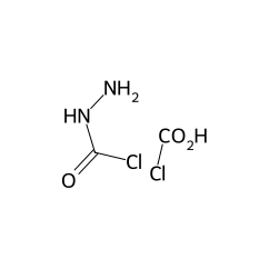 NNC(=O)Cl.O=C(O)Cl